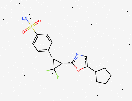 NS(=O)(=O)c1ccc([C@@H]2[C@@H](c3ncc(C4CCCC4)o3)C2(F)F)cc1